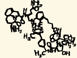 Cc1ncsc1-c1ccc([C@H](C)NC(=O)[C@@H]2C[C@@H](O)CN2C(=O)[C@@H](NC(=O)OCCCCc2cccc(N(C)CC(CCC(N)=O)NC(=O)[C@@H]3Cc4cccc5c4N3C(=O)[C@@H](N)CC5)c2F)C(C)(C)C)cc1